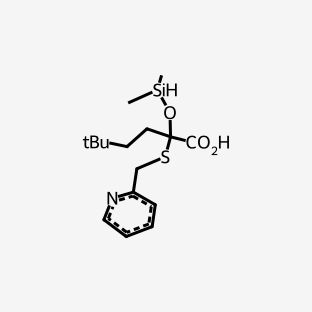 C[SiH](C)OC(CCC(C)(C)C)(SCc1ccccn1)C(=O)O